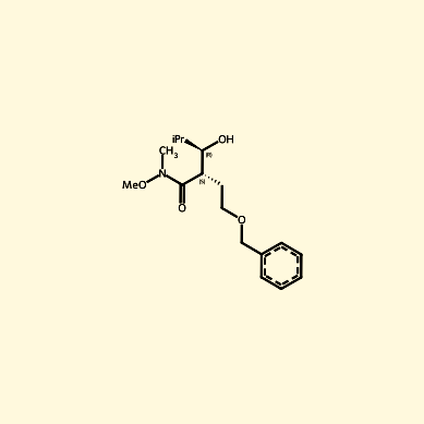 CON(C)C(=O)[C@@H](CCOCc1ccccc1)[C@H](O)C(C)C